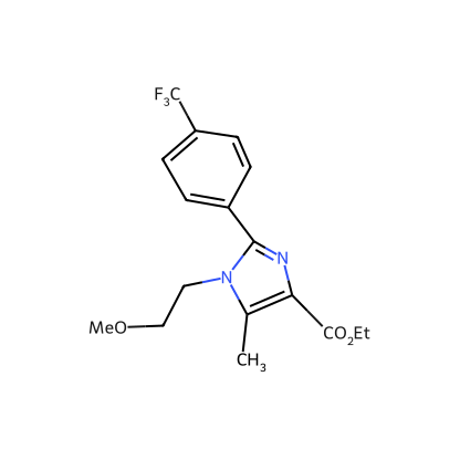 CCOC(=O)c1nc(-c2ccc(C(F)(F)F)cc2)n(CCOC)c1C